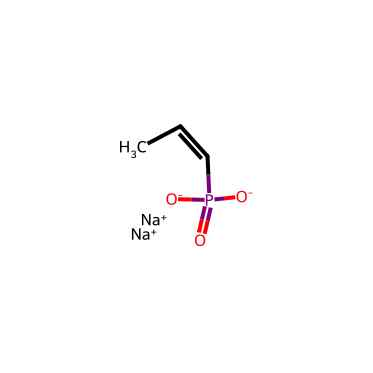 C/C=C\P(=O)([O-])[O-].[Na+].[Na+]